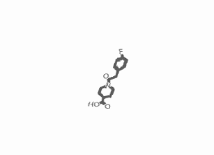 O=C(O)C1CCN(C(=O)Cc2ccc(F)cc2)CC1